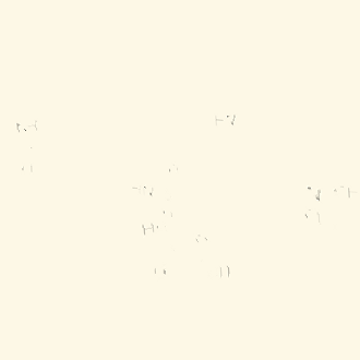 CN(C)CCc1c[nH]c2ccc(CS(=O)(=O)NCc3ccc(C(N)=O)cc3)cc12.O=C(O)C(=O)O